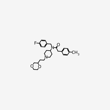 Cc1ccc(CC(=O)N(Cc2ccc(F)cc2)C2CCN(CCC3COCCO3)CC2)cc1